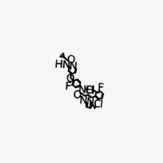 O=C(Nc1ccc(Oc2ccnc(NC(=O)C3CC3)c2)c(F)c1)c1cc(-c2c(Cl)ccc(F)c2Cl)n2nccc2n1